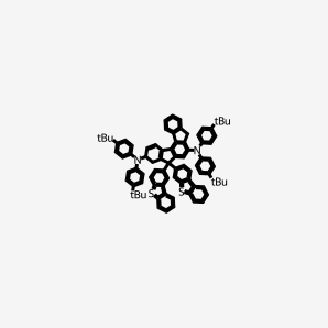 CC(C)(C)c1ccc(N(c2ccc(C(C)(C)C)cc2)c2cc3c(c4c2Cc2ccccc2-4)C2=C(CC(N(c4ccc(C(C)(C)C)cc4)c4ccc(C(C)(C)C)cc4)C=C2)C3(c2ccc3c(c2)sc2ccccc23)c2ccc3sc4ccccc4c3c2)cc1